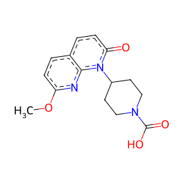 COc1ccc2ccc(=O)n(C3CCN(C(=O)O)CC3)c2n1